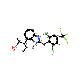 CCC(c1cccc2nc(Cc3c(Cl)cc(C(F)(F)F)cc3Cl)n(C)c12)C(C)O